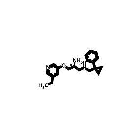 CCc1cncc(OC[C@@H](N)CNCC2(c3ccccc3)CC2)c1